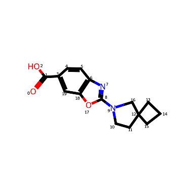 O=C(O)c1ccc2nc(N3CCC4(CCC4)C3)oc2c1